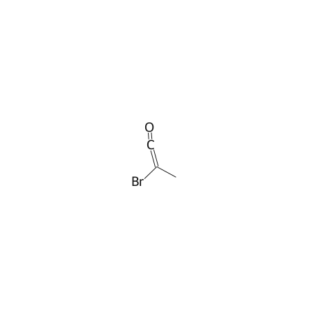 CC(Br)=C=O